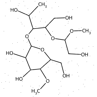 COC(CO)OC(CO)C(OC1OC(CO)C(OC)C(O)C1O)C(C)O